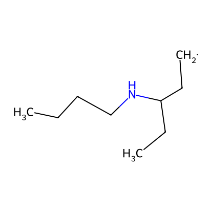 [CH2]CC(CC)NCCCC